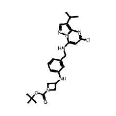 CC(C)c1cnn2c(NCc3cccc(NC4CN(C(=O)OC(C)(C)C)C4)c3)cc(Cl)nc12